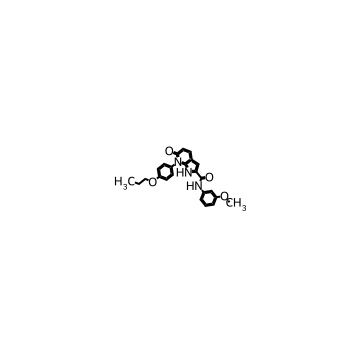 CCCOc1ccc(-n2c(=O)ccc3cc(C(=O)Nc4cccc(OC)c4)[nH]c32)cc1